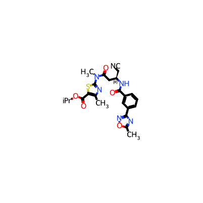 Cc1nc(-c2cccc(C(=O)N[C@H](CC#N)CC(=O)N(C)c3nc(C)c(C(=O)OC(C)C)s3)c2)no1